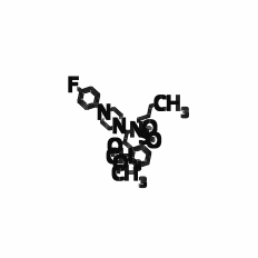 CCCCN1C(N2CCN(c3ccc(F)cc3)CC2)C(OC)c2c(OC)cccc2S1(=O)=O